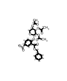 CC(=O)O[C@@H]1[C@@H](OC(C)=O)[C@H](Oc2ccc([N+](=O)[O-])cc2C(=O)OCc2ccccc2)OC[C@H]1OC(C)=O